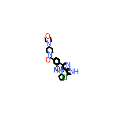 COc1cc(C(=O)N2CCC(N3CCOCC3)CC2)ccc1-c1cnc2[nH]cc(Cl)c2c1NC1CCCC1